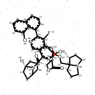 CC(C)[C@H]1C(=O)O[C@@H]1C(=O)N1C2CC[C@H]1CN(c1nc(OCC34CCCN3CCC4)nc3c(F)c(-c4cccc5cccc(Cl)c45)ncc13)C2